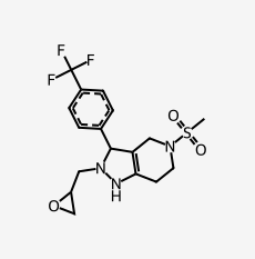 CS(=O)(=O)N1CCC2=C(C1)C(c1ccc(C(F)(F)F)cc1)N(CC1CO1)N2